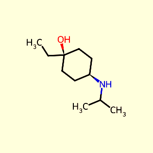 CC[C@]1(O)CC[C@@H](NC(C)C)CC1